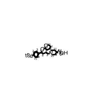 CC(C)(C)c1ccc(C(CCCN2CCC(=NO)CC2)OC2CCCCO2)cc1